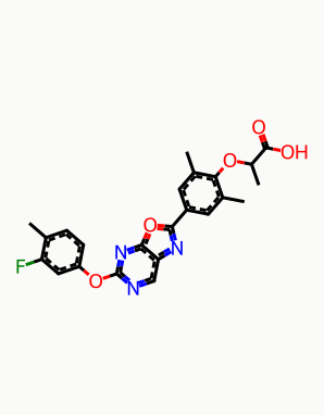 Cc1ccc(Oc2ncc3nc(-c4cc(C)c(OC(C)C(=O)O)c(C)c4)oc3n2)cc1F